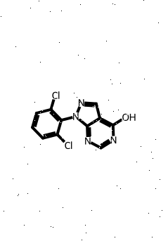 Oc1ncnc2c1cnn2-c1c(Cl)cccc1Cl